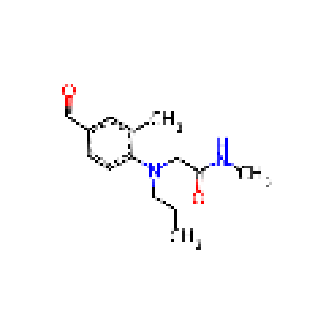 CCCN(CC(=O)NC)c1ccc(C=O)cc1C